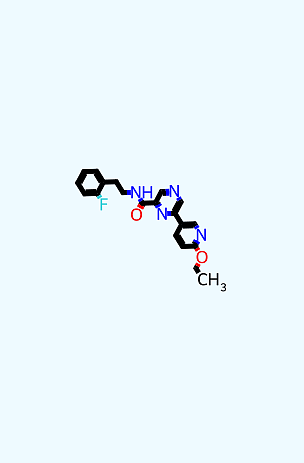 CCOc1ccc(-c2cncc(C(=O)NCCc3ccccc3F)n2)cn1